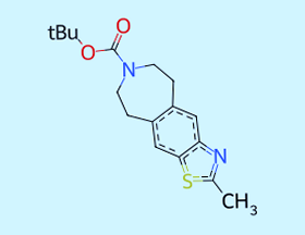 Cc1nc2cc3c(cc2s1)CCN(C(=O)OC(C)(C)C)CC3